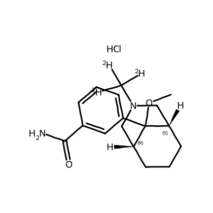 Cl.[2H]C([2H])([2H])N1C[C@H]2CCC[C@@H](C1)C2(OC)c1cccc(C(N)=O)c1